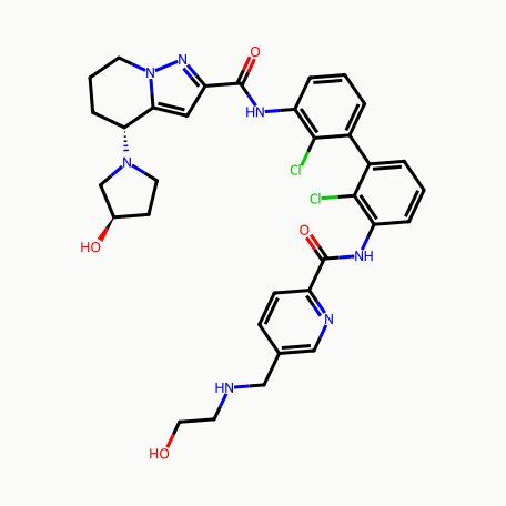 O=C(Nc1cccc(-c2cccc(NC(=O)c3cc4n(n3)CCC[C@H]4N3CC[C@@H](O)C3)c2Cl)c1Cl)c1ccc(CNCCO)cn1